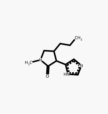 CCCC1CN(C)C(=O)C1c1cnc[nH]1